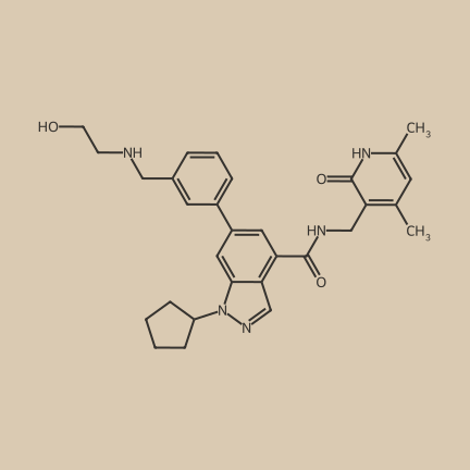 Cc1cc(C)c(CNC(=O)c2cc(-c3cccc(CNCCO)c3)cc3c2cnn3C2CCCC2)c(=O)[nH]1